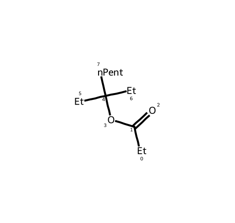 [CH2]CC(=O)OC(CC)(CC)CCCCC